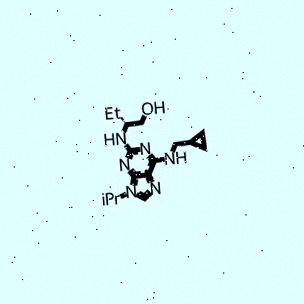 CC[C@H](CO)Nc1nc(NCC2CC2)c2ncn(C(C)C)c2n1